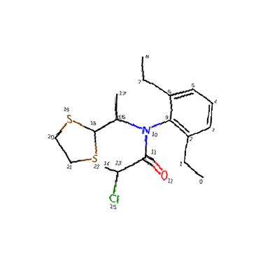 CCc1cccc(CC)c1N(C(=O)C(C)Cl)C(C)C1SCCS1